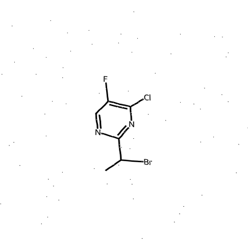 CC(Br)c1ncc(F)c(Cl)n1